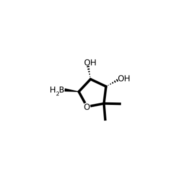 B[C@@H]1OC(C)(C)[C@@H](O)[C@H]1O